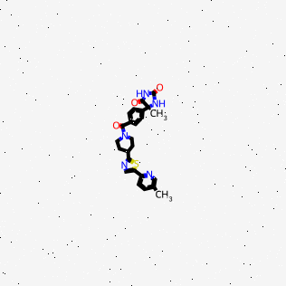 Cc1ccc(-c2cnc(C3CCN(C(=O)c4ccc([C@@]5(C)NC(=O)NC5=O)cc4)CC3)s2)nc1